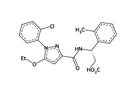 CCOc1cc(C(=O)N[C@@H](CC(=O)O)c2ccccc2C)nn1-c1ccccc1Cl